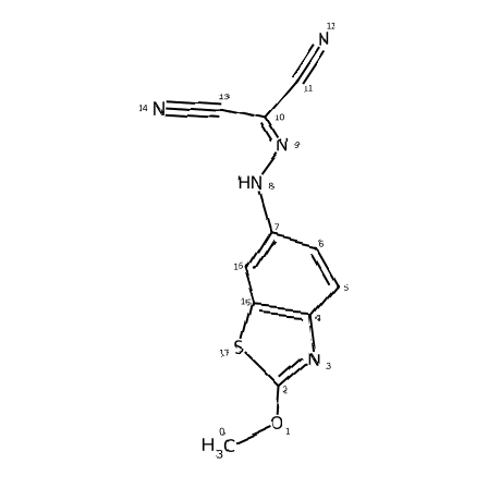 COc1nc2ccc(NN=C(C#N)C#N)cc2s1